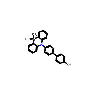 C[Si]1(C)c2ccccc2N(c2ccc(-c3ccc(C#N)cc3)cc2)c2ccccc21